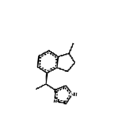 CC1CCc2c1cccc2C(C)c1c[nH]cn1